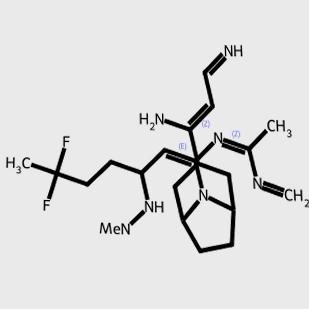 C=N/C(C)=N\C(=C\C(CCC(C)(F)F)NNC)N1C2CCC1CC(/C(N)=C/C=N)C2